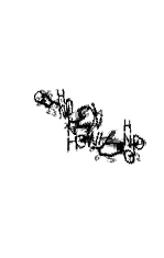 O=C1COc2ccc(CNC(=O)c3ncnc4c(C(=O)NCc5ccoc5)c[nH]c34)cc2N1